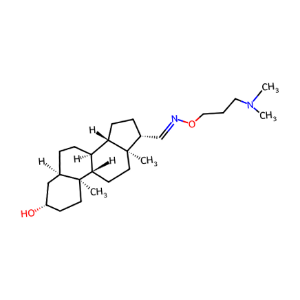 CN(C)CCCO/N=C/[C@H]1CC[C@H]2[C@@H]3CC[C@@H]4C[C@@H](O)CC[C@]4(C)[C@H]3CC[C@]12C